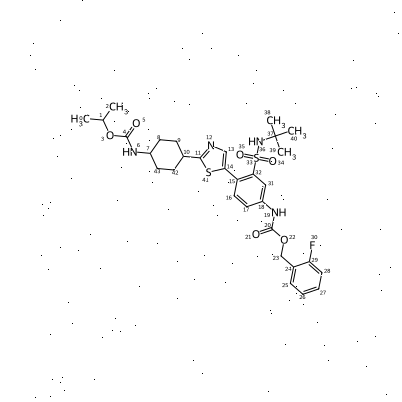 CC(C)OC(=O)NC1CCC(c2ncc(-c3ccc(NC(=O)OCc4ccccc4F)cc3S(=O)(=O)NC(C)(C)C)s2)CC1